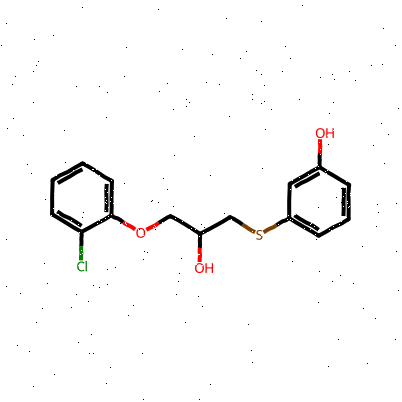 Oc1cccc(SCC(O)COc2ccccc2Cl)c1